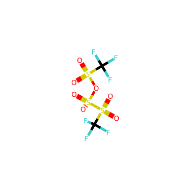 O=S(=O)(OS(=O)(=O)S(=O)(=O)C(F)(F)F)C(F)(F)F